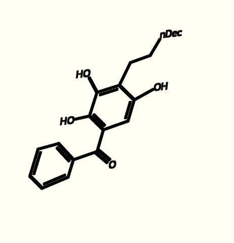 CCCCCCCCCCCCc1c(O)cc(C(=O)c2ccccc2)c(O)c1O